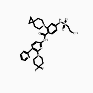 O=C(Nc1ccc(-c2ccccn2)c(N2CCC(F)(F)CC2)n1)c1ccc(NS(=O)(=O)CCO)cc1N1CCC2(CC1)CC2